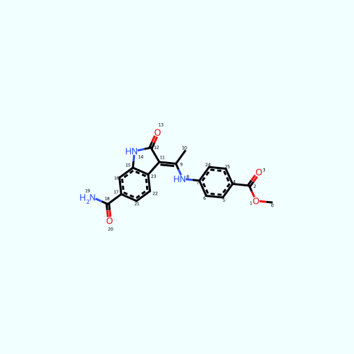 COC(=O)c1ccc(NC(C)=C2C(=O)Nc3cc(C(N)=O)ccc32)cc1